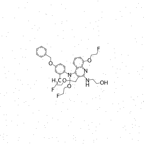 Cc1cc(OCc2ccccc2)ccc1N1c2c(c(NCCO)nc3c(OCCF)cccc23)CC1(OCCF)OCCF